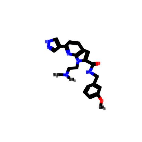 COc1cccc(CNC(=O)c2cc3ccc(-c4cn[nH]c4)nc3n2CCN(C)C)c1